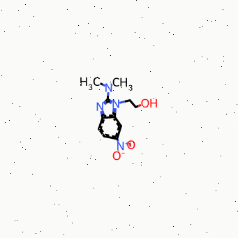 CN(C)c1nc2ccc([N+](=O)[O-])cc2n1CCO